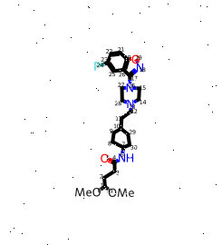 COC(CCC(=O)NC1CCC(CCN2CCN(c3noc4ccc(F)cc34)CC2)CC1)OC